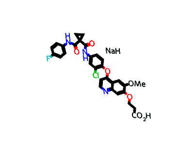 COc1cc2c(Oc3ccc(NC(=O)C4(C(=O)Nc5ccc(F)cc5)CC4)cc3Cl)ccnc2cc1OCCC(=O)O.[NaH]